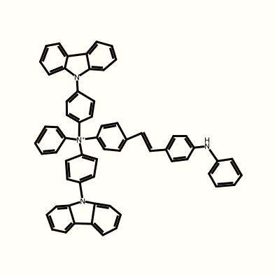 C(=Cc1ccc([N+](c2ccccc2)(c2ccc(-n3c4ccccc4c4ccccc43)cc2)c2ccc(-n3c4ccccc4c4ccccc43)cc2)cc1)c1ccc(Nc2ccccc2)cc1